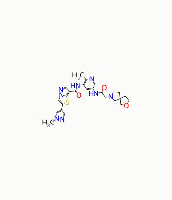 Cc1ncc(NC(=O)CN2CCC3(CCOC3)C2)cc1NC(=O)c1cnn2cc(-c3cnn(C)c3)sc12